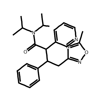 Cc1nc(CC(c2ccccc2)C(C(=O)N(C(C)C)C(C)C)c2cccnc2)no1